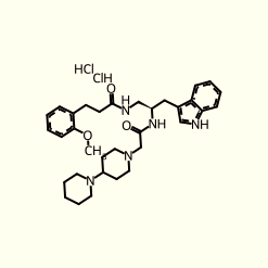 COc1ccccc1CCC(=O)NC[C@@H](Cc1c[nH]c2ccccc12)NC(=O)CN1CCC(N2CCCCC2)CC1.Cl.Cl